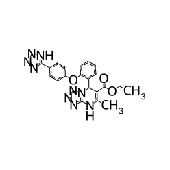 CCOC(=O)C1=C(C)Nc2nnnn2C1c1ccccc1Oc1ccc(-c2nnn[nH]2)cc1